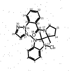 CN1c2ccccc2N(Cl)C1(C)C1(C)CCCN1C(=O)c1ccccc1-n1nccn1